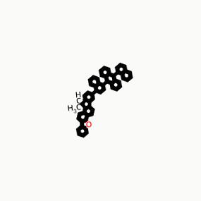 CC1(C)c2ccc(-c3ccc(-c4c5ccccc5c(-c5cccc6ccccc56)c5ccccc45)c4ccccc34)cc2-c2ccc3c(ccc4c5ccccc5oc34)c21